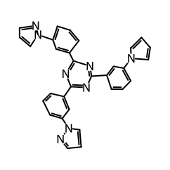 c1cc(-c2nc(-c3cccc(-n4cccn4)c3)nc(-c3cccc(-n4cccn4)c3)n2)cc(-n2cccc2)c1